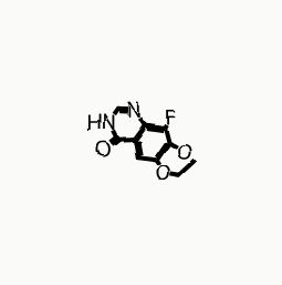 O=c1[nH]cnc2c(F)c3c(cc12)OCCO3